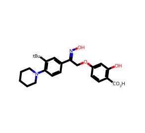 CC(C)(C)c1cc(C(COc2ccc(C(=O)O)c(O)c2)=NO)ccc1N1CCCCC1